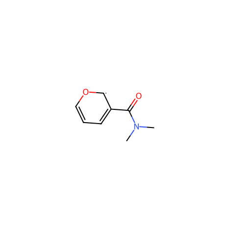 CN(C)C(=O)C1=CC=CO[CH]1